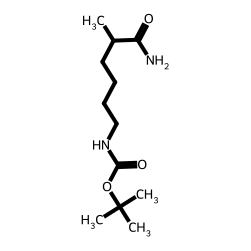 CC(CCCCNC(=O)OC(C)(C)C)C(N)=O